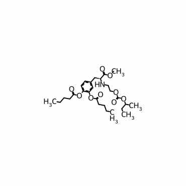 CCCCC(=O)Oc1ccc(C[C@H](NCCOC(=O)OC(C)CC)C(=O)OC)cc1OC(=O)CCCC